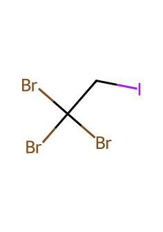 BrC(Br)(Br)CI